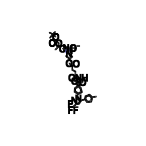 Cc1ccc(-c2cc(C(F)(F)F)nn2-c2ccc(S(=O)(=O)NC(=O)CCC(=O)OC3CN(/[N+]([O-])=N\OC(C)OC(=O)OC(C)(C)C)C3)cc2)cc1